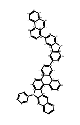 c1ccc(-n2c3cc4ccccc4cc3c3c4c5ccccc5c5cc(-c6ccc7sc8ccc(-c9cccc%10c9ccc9ccccc9%10)cc8c7c6)ccc5c4ccc32)cc1